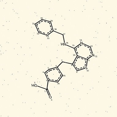 O=C(O)c1ccc(Cc2csc3ncnc(NCc4ccccn4)c23)cc1